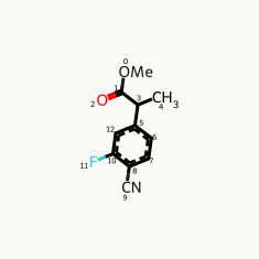 COC(=O)C(C)c1ccc(C#N)c(F)c1